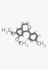 COc1cc2c(cc1OC)C(c1ccc(C)cc1)OCC2